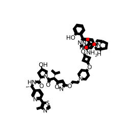 Cc1ncsc1-c1ccc([C@H](C)NC(=O)[C@@H]2C[C@@H](O)CN2C(=O)[C@@H](c2cc(OCCN3CCC(OC4CC(Oc5cc(N6C7CC[C@@H]6CN(c6cc(-c8ccccc8O)nnc6N)C7)ccn5)C4)CC3)no2)C(C)C)cn1